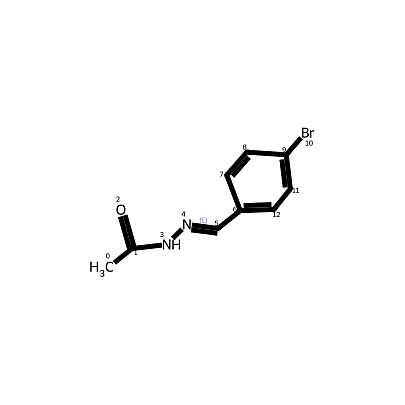 CC(=O)N/N=C/c1ccc(Br)cc1